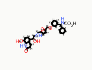 O=C(O)N[C@@H](c1ccccc1)c1cccc(OCc2ccc(CNCC(O)c3ccc(O)c4[nH]c(=O)ccc34)o2)c1